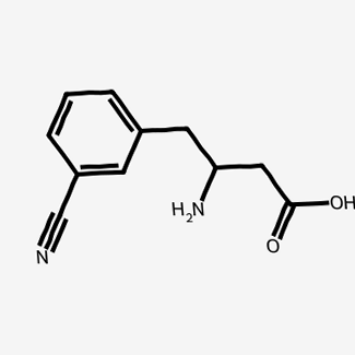 N#Cc1cccc(CC(N)CC(=O)O)c1